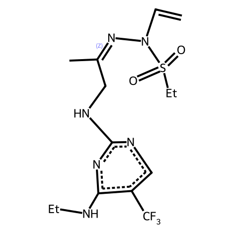 C=CN(/N=C(/C)CNc1ncc(C(F)(F)F)c(NCC)n1)S(=O)(=O)CC